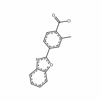 Cc1cc(-c2nc3ccccc3o2)ccc1C(=O)Cl